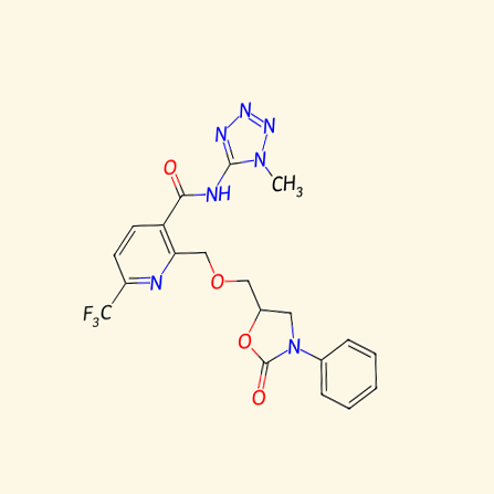 Cn1nnnc1NC(=O)c1ccc(C(F)(F)F)nc1COCC1CN(c2ccccc2)C(=O)O1